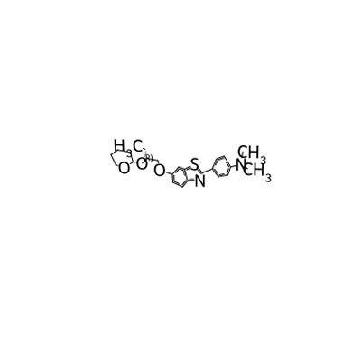 CC[C@H](COc1ccc2nc(-c3ccc(N(C)C)cc3)sc2c1)OC1CCCCO1